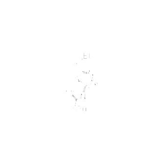 CCCCC(=O)N=C1[N]N=C(SCC)S1